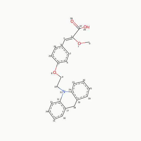 COC(=Cc1ccc(OCCN2c3ccccc3Cc3ccccc32)cc1)C(=O)O